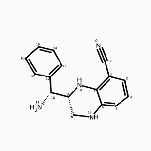 N#Cc1cccc2c1N[C@@H]([C@H](N)c1ccccc1)CN2